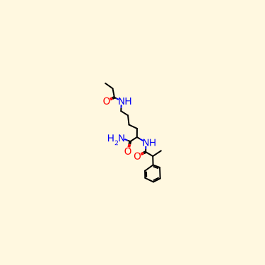 CCC(=O)NCCCCC(NC(=O)C(C)c1ccccc1)C(N)=O